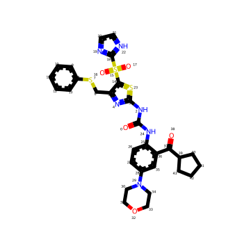 O=C(Nc1nc(CSc2ccccc2)c(S(=O)(=O)c2ncc[nH]2)s1)Nc1ccc(N2CCOCC2)cc1C(=O)C1CCCC1